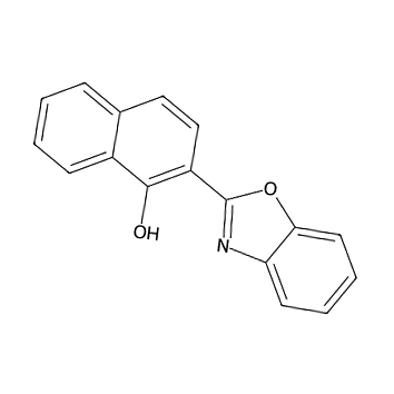 Oc1c(-c2nc3ccccc3o2)ccc2ccccc12